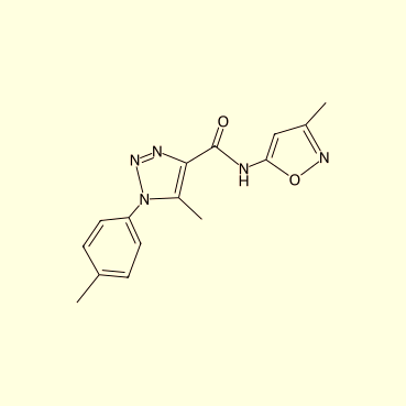 Cc1ccc(-n2nnc(C(=O)Nc3cc(C)no3)c2C)cc1